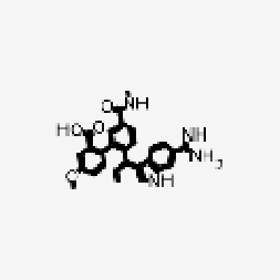 CCC(c1ccc(C(=O)NC)cc1-c1ccc(OC)cc1C(=O)O)c1c[nH]c2cc(C(=N)N)ccc12